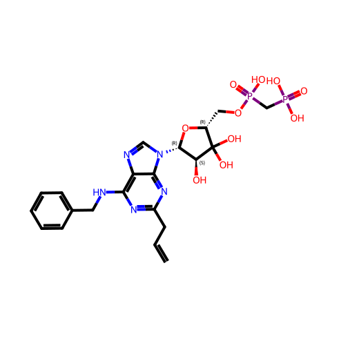 C=CCc1nc(NCc2ccccc2)c2ncn([C@@H]3O[C@H](COP(=O)(O)CP(=O)(O)O)C(O)(O)[C@H]3O)c2n1